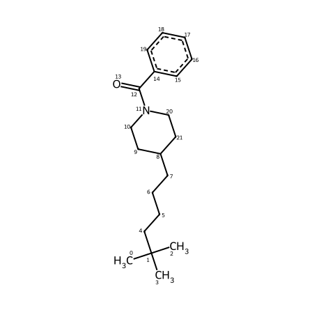 CC(C)(C)CCCCC1CCN(C(=O)c2ccccc2)CC1